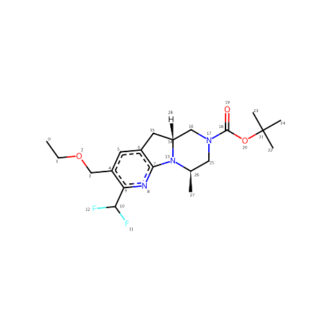 CCOCc1cc2c(nc1C(F)F)N1[C@H](C2)CN(C(=O)OC(C)(C)C)C[C@H]1C